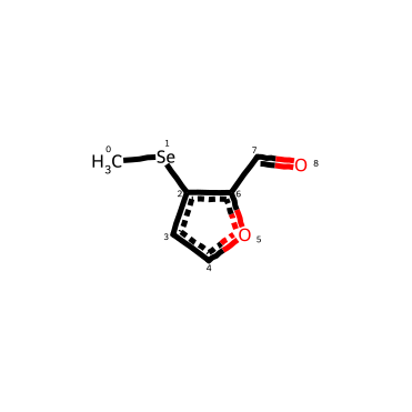 C[Se]c1ccoc1C=O